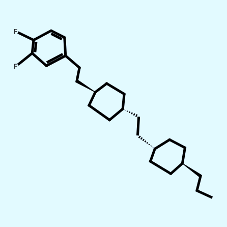 CCC[C@H]1CC[C@H](CC[C@H]2CC[C@H](CCc3ccc(F)c(F)c3)CC2)CC1